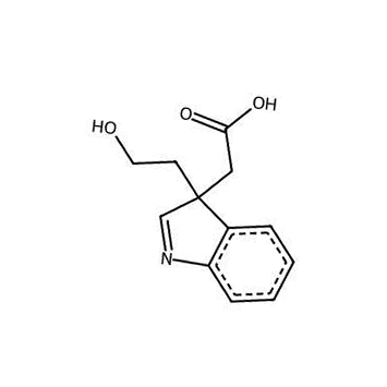 O=C(O)CC1(CCO)C=Nc2ccccc21